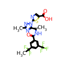 Cc1nc([C@H](C)NC(=O)c2cc(C(C)(F)F)cc(C(F)(F)F)c2)n(-c2ncc(C(=O)O)s2)n1